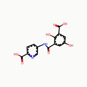 O=C(O)c1ccc(NC(=O)c2cc(O)cc(C(=O)O)c2O)cn1